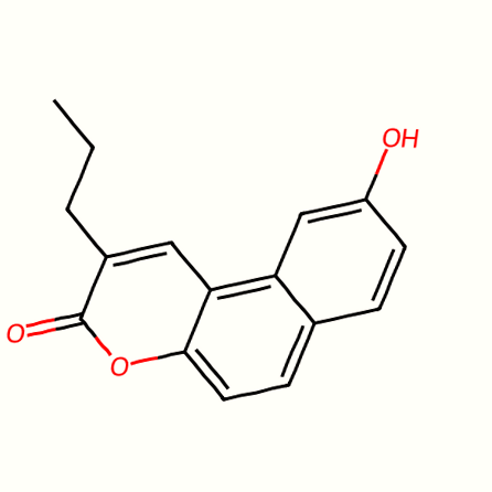 CCCc1cc2c(ccc3ccc(O)cc32)oc1=O